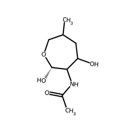 CC(=O)NC1C(O)CC(C)CO[C@H]1O